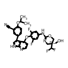 CC(C)Oc1ccc(-c2c[nH]c3nccc(Oc4c(F)cc(NC5=NC[C@](CO)(C(F)F)CO5)cc4F)c23)cc1C#N